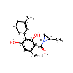 CCCCCc1cc(O)c(C2C=C(C)CCC2)c(O)c1C(=O)N1C[C@H]1C